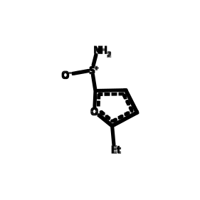 CCc1ccc([S+](N)[O-])o1